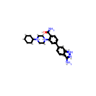 NC(=O)c1ccc(-c2ccc3c(N)n[nH]c3c2)cc1N1CCN(C2CCCCC2)CC1